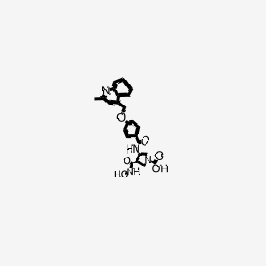 Cc1cc(COc2ccc(C(=O)NC3CN(C(=O)O)C[C@H]3C(=O)NO)cc2)c2ccccc2n1